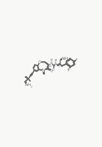 CN1C(=O)[C@@H](NC(=O)N/C=C(\C=N)Cc2ccc(F)cc2F)COc2ccc(C#CC(C)(C)CN)cc21